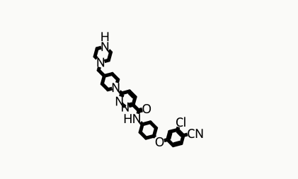 N#Cc1ccc(OC2CCC(NC(=O)c3ccc(N4CCC(CN5CCNCC5)CC4)nn3)CC2)cc1Cl